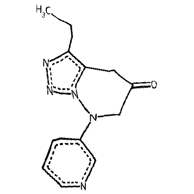 CCc1nnn2c1CC(=O)CN2c1cccnc1